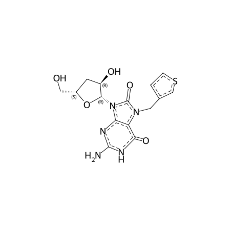 Nc1nc2c(c(=O)[nH]1)n(Cc1ccsc1)c(=O)n2[C@@H]1O[C@H](CO)C[C@H]1O